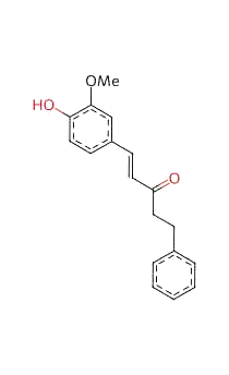 COc1cc(/C=C/C(=O)CCc2ccccc2)ccc1O